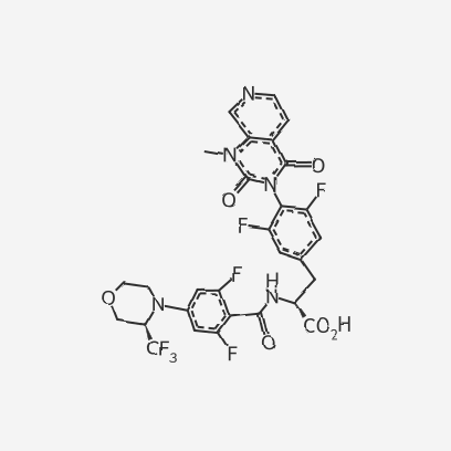 Cn1c(=O)n(-c2c(F)cc(C[C@H](NC(=O)c3c(F)cc(N4CCOC[C@@H]4C(F)(F)F)cc3F)C(=O)O)cc2F)c(=O)c2ccncc21